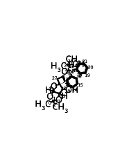 CC1(C)O[C@H]2O[C@]3(C[C@@H](O[Si](c4ccccc4)(c4ccccc4)C(C)(C)C)C3)[C@@H](O)[C@H]2O1